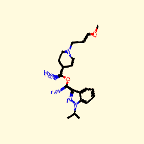 COCCCN1CCC(C(=N)OC(=N)c2nn(C(C)C)c3ccccc23)CC1